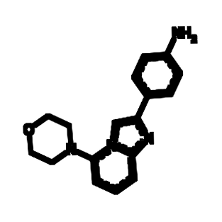 Nc1ccc(-c2cn3c(N4CCOCC4)cccc3n2)cc1